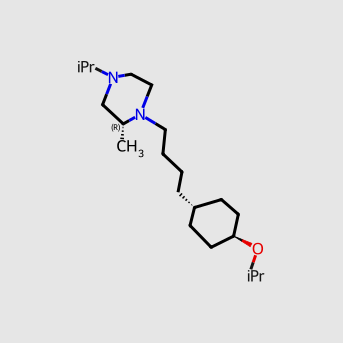 CC(C)O[C@H]1CC[C@H](CCCCN2CCN(C(C)C)C[C@H]2C)CC1